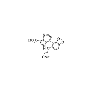 CCOC(=O)c1c[nH]c2c(-c3c(OCCOC)ccc4c3OCO4)ncnc12